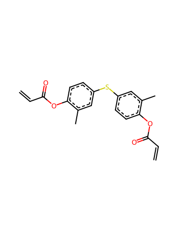 C=CC(=O)Oc1ccc(Sc2ccc(OC(=O)C=C)c(C)c2)cc1C